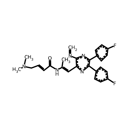 C=Nc1nc(-c2ccc(F)cc2)c(-c2ccc(F)cc2)nc1/C=C(\C)NC(=O)/C=C/CN(C)C